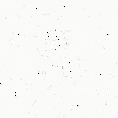 C=CC(=O)NC(C(C)C)C1CCC[Si](OC)(OC)C1(C)OC